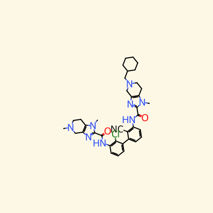 CN1CCc2c(nc(C(=O)Nc3cccc(-c4cccc(NC(=O)c5nc6c(n5C)CCN(CC5CCCCC5)C6)c4C#N)c3Cl)n2C)C1